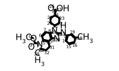 COC(=O)N1c2ccc3c(nc(Nc4cccc(C)c4)n3C3CCC(C(=O)O)CC3)c2CC[C@@H]1C